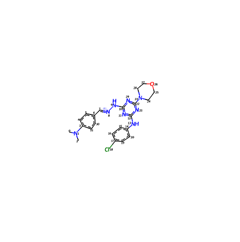 CN(C)c1ccc(/C=N/Nc2nc(Nc3ccc(Cl)cc3)nc(N3CCOCC3)n2)cc1